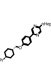 CCCCCCCc1cnc(-c2ccc(OC[C@H]3CC[C@H](CCC)CC3)cc2)cn1